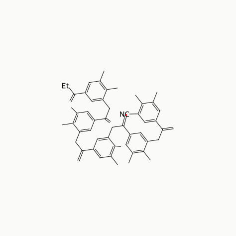 C=C(CC)c1cc(C)c(C)c(CC(=C)c2cc(C)c(C)c(CC(=C)c3cc(C)c(C)c(CC(=C)c4cc(C)c(C)c(CC(=C)c5cc(C)c(C)c(C#N)c5)c4)c3)c2)c1